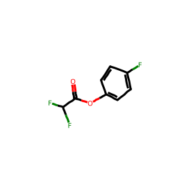 O=C(Oc1ccc(F)cc1)C(F)F